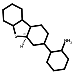 NC1CCCCC1C1CCC2C3CCCCC3S[C@@H]2C1